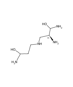 NC(O)CCNC[C@H](N)C(N)O